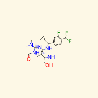 C/C(C(=N)CO)=C(\N=C(/NC=O)N(C)C)NC(c1ccc(C(F)F)c(F)c1)C1CC1